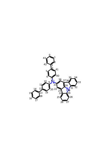 c1ccc(-c2ccc(N(c3ccc(-c4ccccc4)cc3)c3cc4c5ccccc5n5c6ccccc6c(c3)c45)cc2)cc1